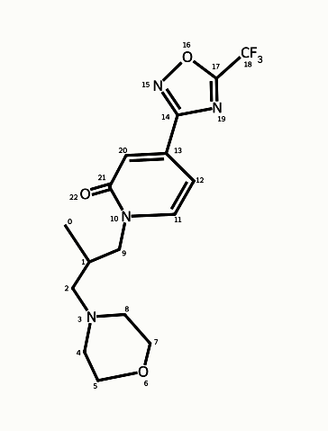 CC(CN1CCOCC1)Cn1ccc(-c2noc(C(F)(F)F)n2)cc1=O